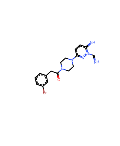 N=Cn1nc(N2CCN(C(=O)Cc3cccc(Br)c3)CC2)ccc1=N